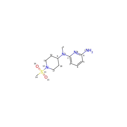 CN(c1cccc(N)n1)C1CCN(S(C)(=O)=O)CC1